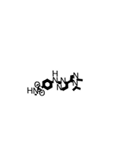 CNS(=O)(=O)c1ccc(Nc2nccc(-c3cnc(C)n3C(C)C)n2)cc1